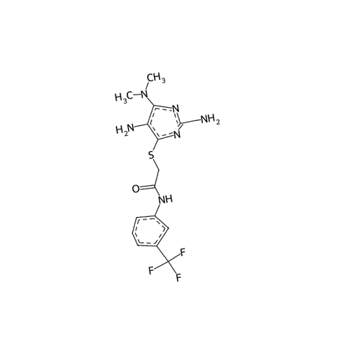 CN(C)c1nc(N)nc(SCC(=O)Nc2cccc(C(F)(F)F)c2)c1N